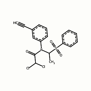 C#Cc1cccc(N(C(=O)C(Cl)Cl)C(C)S(=O)(=O)c2ccccc2)c1